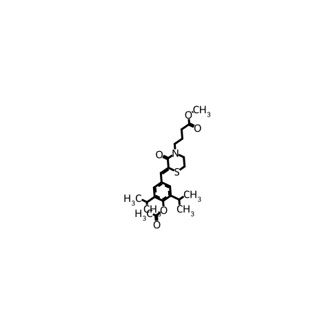 COC(=O)CCCN1CCSC(=Cc2cc(C(C)C)c(OC(C)=O)c(C(C)C)c2)C1=O